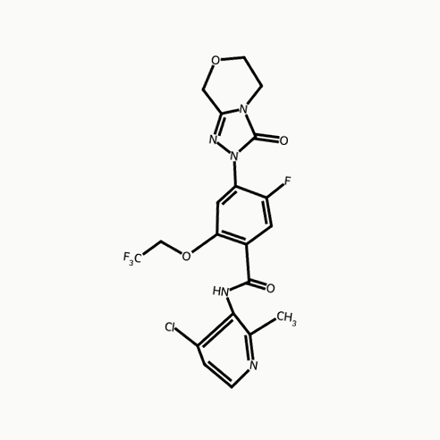 Cc1nccc(Cl)c1NC(=O)c1cc(F)c(-n2nc3n(c2=O)CCOC3)cc1OCC(F)(F)F